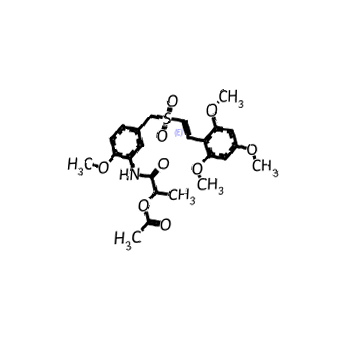 COc1cc(OC)c(/C=C/S(=O)(=O)Cc2ccc(OC)c(NC(=O)C(C)OC(C)=O)c2)c(OC)c1